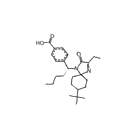 CCCC[C@H](c1ccc(C(=O)O)cc1)N1C(=O)C(CC)=NC12CCC(C(C)(C)C)CC2